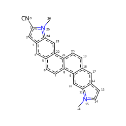 [C-]#[N+]c1cc2cc3ccc4c5cc6c(ccn6C)cc5ccc4c3cc2n1C